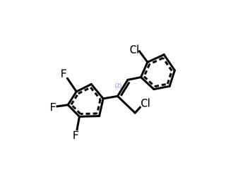 Fc1cc(/C(=C/c2ccccc2Cl)CCl)cc(F)c1F